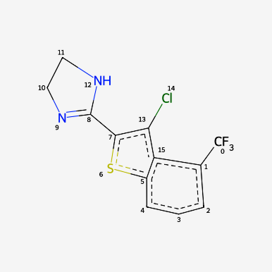 FC(F)(F)c1cccc2sc(C3=NCCN3)c(Cl)c12